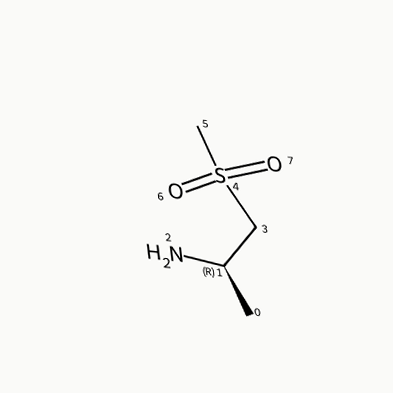 C[C@@H](N)CS(C)(=O)=O